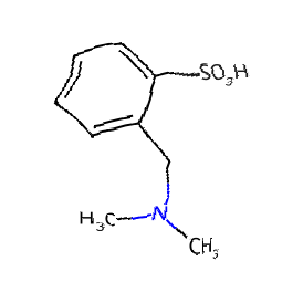 CN(C)Cc1ccccc1S(=O)(=O)O